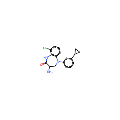 NC1CN(c2cccc(C3CC3)c2)c2cccc(Cl)c2NC1=O